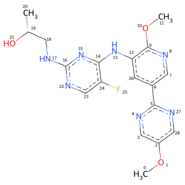 COc1cnc(-c2cnc(OC)c(Nc3nc(NC[C@@H](C)O)ncc3F)c2)nc1